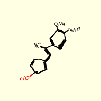 COc1ccc(C(C#N)=Cc2ccc(O)cc2)cc1OC